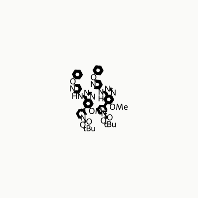 COc1cc2ncnc(Nc3ccc(Oc4ccccc4)nc3)c2cc1C1CCCN(C(=O)OC(C)(C)C)C1.COc1cc2ncnc(Nc3ccc(Oc4ccccc4)nc3)c2cc1[C@@H]1CCCN(C(=O)OC(C)(C)C)C1